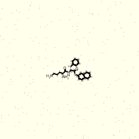 NCCC[C@@H](N)C(=O)N[C@H](Cc1ccccc1)C(=O)Sc1ccc2ccccc2c1